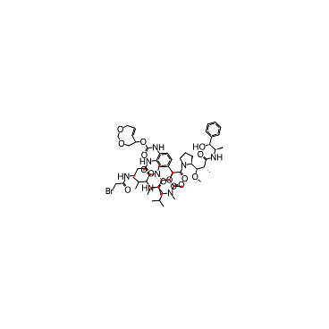 CC[C@H](C)[C@@H]([C@@H](CC(=O)N1CCC[C@H]1[C@H](OC)[C@@H](C)C(=O)N[C@H](C)[C@@H](O)c1ccccc1)OC)N(C)C(=O)[C@@H](NC(=O)[C@H](C(C)C)N(C)C(=O)OCc1ccc(NC(=O)OC2/C=C/COCOC2)c(NC(=O)CCNC(=O)CBr)c1)C(C)C